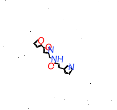 O=C(C=Cc1cccnc1)NCc1cc(-c2ccco2)on1